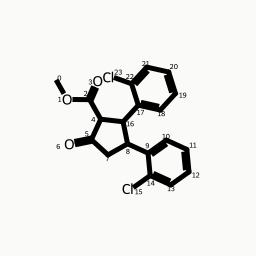 COC(=O)C1C(=O)CC(c2ccccc2Cl)C1c1ccccc1Cl